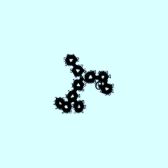 c1ccc(-c2ccc(N(c3ccc(-c4ccc(-c5cccc6ccccc56)c(-c5ccccc5)c4)cc3)c3ccc(-c4cccc5c4oc4ccccc45)cc3)cc2)cc1